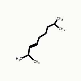 [CH2]C(C)CCC/C=C/C(C)C